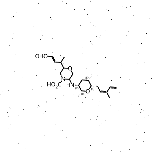 C=CC(C)=CC[C@@H]1O[C@H](C)[C@H](NC2COC(C(C)C=CC=O)CN2C(=O)O)C[C@@H]1C